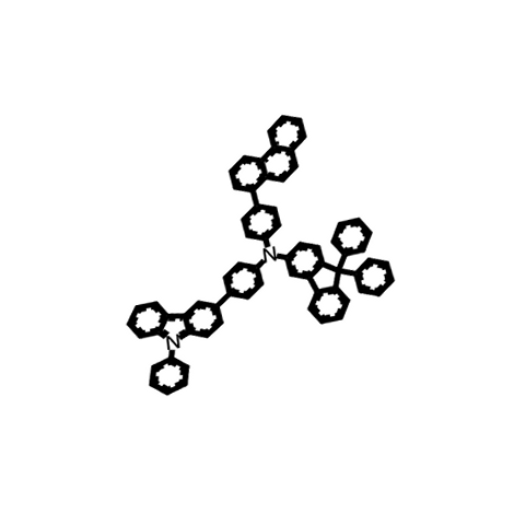 c1ccc(-n2c3ccccc3c3cc(-c4ccc(N(c5ccc(-c6cccc7c6ccc6ccccc67)cc5)c5ccc6c(c5)-c5ccccc5C6(c5ccccc5)c5ccccc5)cc4)ccc32)cc1